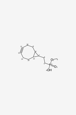 COP(=O)(O)CCC1C2CCC#CCCC21